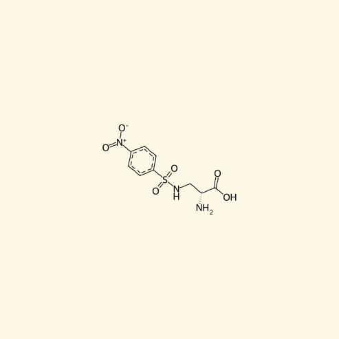 N[C@H](CNS(=O)(=O)c1ccc([N+](=O)[O-])cc1)C(=O)O